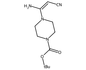 CC(C)(C)OC(=O)N1CCN(/C(N)=C\C#N)CC1